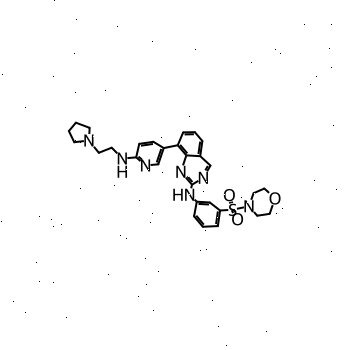 O=S(=O)(c1cccc(Nc2ncc3cccc(-c4ccc(NCCN5CCCC5)nc4)c3n2)c1)N1CCOCC1